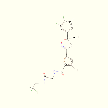 Cc1cc(C2=NO[C@](C)(c3cc(Cl)c(Cl)c(Cl)c3)C2)sc1C(=O)NCC(=O)NCC(F)(F)F